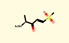 CC(=O)N[C@@H](C)C(=O)/C=C/S(C)(=O)=O